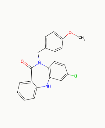 COc1ccc(CN2C(=O)c3ccccc3Nc3cc(Cl)ccc32)cc1